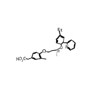 CCc1ccc(O[C@H](C)CCOc2ccc(CC(=O)O)cc2C)c(-c2ccccn2)c1